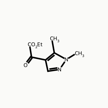 CCOC(=O)C(=O)c1cnn(C)c1C